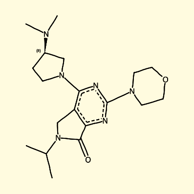 CC(C)N1Cc2c(nc(N3CCOCC3)nc2N2CC[C@@H](N(C)C)C2)C1=O